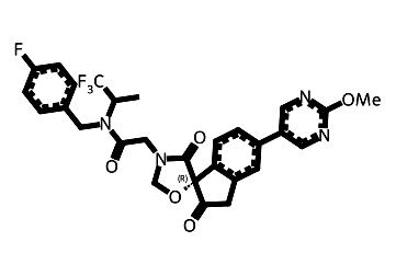 COc1ncc(-c2ccc3c(c2)CC(=O)[C@]32OCN(CC(=O)N(Cc3ccc(F)cc3)C(C)C(F)(F)F)C2=O)cn1